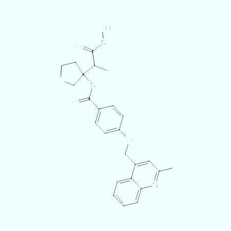 Cc1cc(COc2ccc(C(=O)NC3(C(C)C(=O)NO)CCOC3)cc2)c2ccccc2n1